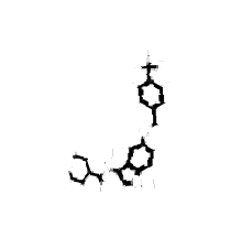 O=C(Nc1c[nH]c2ccc(OCc3ccc(C(F)(F)F)cc3)cc12)C1CCOCC1